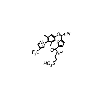 CCC[C@H](Oc1cc(C)c(-n2cc(C(F)(F)F)cn2)c(C)c1)c1ccc(C(=O)NCCS(=O)(=O)O)s1